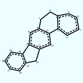 c1ccc2c(c1)CCc1cc3c(cc1-2)Cc1ccccc1-3